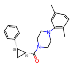 Cc1ccc(C)c(N2CCN(C(=O)[C@@H]3C[C@@H]3c3ccccc3)CC2)c1